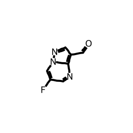 O=Cc1cnn2cc(F)cnc12